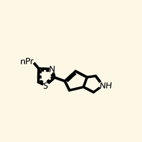 CCCc1csc(C2=CC3CNCC3C2)n1